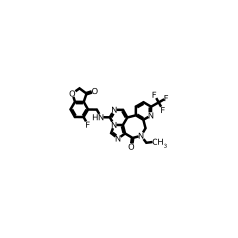 CCN1Cc2nc(C(F)(F)F)ccc2-c2cnc(NCc3c(F)ccc4c3C(=O)CO4)n3cnc(c23)C1=O